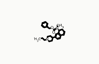 CCCN1CCC(c2ccc3c(c2)C(N(C)C(=O)OCc2ccccc2)CCC3)CC1